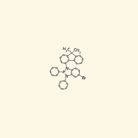 CC1(C)c2ccccc2-c2c(N3c4ccc(Br)cc4N(c4ccccc4)P3c3ccccc3)cccc21